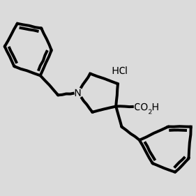 Cl.O=C(O)C1(Cc2ccccc2)CCN(Cc2ccccc2)C1